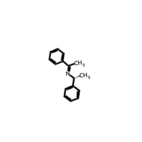 C/C(=N\[C@H](C)c1ccccc1)c1ccccc1